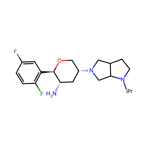 CC(C)N1CCC2CN([C@H]3CO[C@H](c4cc(F)ccc4F)[C@@H](N)C3)CC21